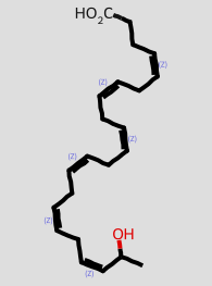 CC(O)/C=C\C/C=C\C/C=C\C/C=C\C/C=C\C/C=C\CCC(=O)O